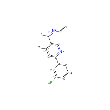 C=C/N=C(/C)c1cnc(C2C=C(F)C=CC2)cc1C